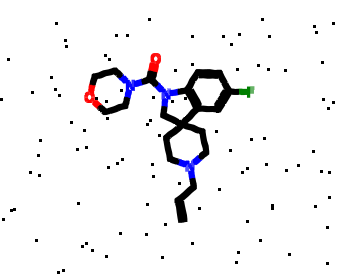 C=CCN1CCC2(CC1)CN(C(=O)N1CCOCC1)c1ccc(F)cc12